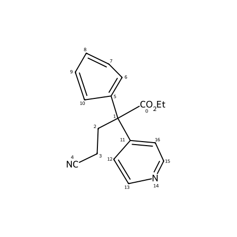 CCOC(=O)C(CCC#N)(c1ccccc1)c1ccncc1